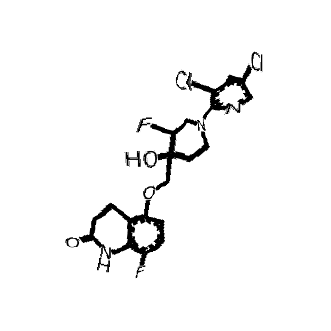 O=C1CCc2c(OCC3(O)CCN(c4ncc(Cl)cc4Cl)CC3F)ccc(F)c2N1